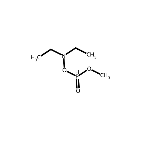 CCN(CC)O[PH](=O)OC